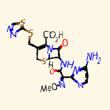 CO/N=C(\C(=O)NC1C(=O)N2C(C(=O)O)=C(CSc3nncs3)CS[C@H]12)c1nccc(N)n1